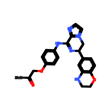 CNC(=O)COc1ccc(NC2=NC(c3ccc4c(c3)NCCO4)Cn3ccnc32)cc1